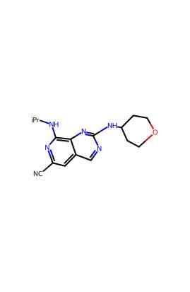 CC(C)Nc1nc(C#N)cc2cnc(NC3CCOCC3)nc12